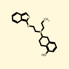 CCCN(CCOc1scc2ccccc12)C1CCc2c(O)cccc2C1